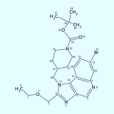 CCOCc1nc2cnc3cc(Br)ccc3c2n1CC1CCN(C(=O)OC(C)(C)C)CC1